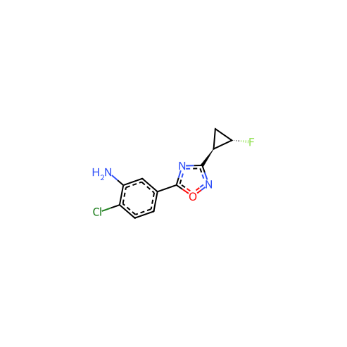 Nc1cc(-c2nc([C@H]3C[C@@H]3F)no2)ccc1Cl